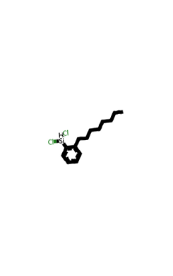 CCCCCCCCc1ccccc1[SiH](Cl)Cl